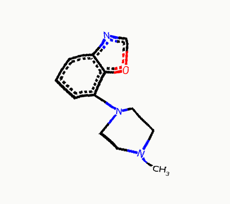 CN1CCN(c2cccc3ncoc23)CC1